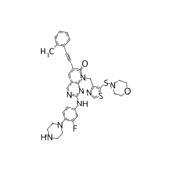 Cc1ccccc1C#Cc1cc2cnc(Nc3ccc(N4CCNCC4)c(F)c3)nc2n(Cc2ncsc2SN2CCOCC2)c1=O